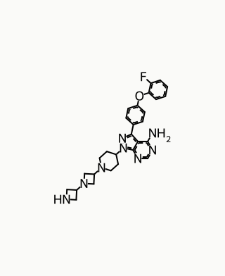 Nc1ncnc2c1c(-c1ccc(Oc3ccccc3F)cc1)nn2C1CCN(C2CN(C3CNC3)C2)CC1